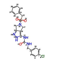 O=C(NCc1ccc(Cl)cc1)Nc1[nH]nc2c1CN(S(=O)(=O)Cc1ccccc1)C2